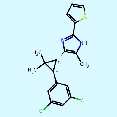 Cc1[nH]c(-c2cccs2)nc1[C@@H]1[C@@H](c2cc(Cl)cc(Cl)c2)C1(C)C